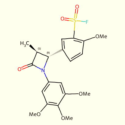 COc1ccc([C@H]2[C@H](C)C(=O)N2c2cc(OC)c(OC)c(OC)c2)cc1S(=O)(=O)F